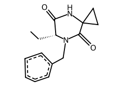 CC[C@@H]1C(=O)NC2(CC2)C(=O)N1Cc1ccccc1